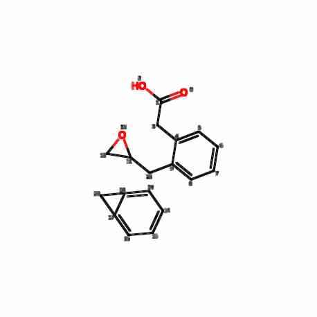 O=C(O)Cc1ccccc1CC1CO1.c1ccc2c(c1)C2